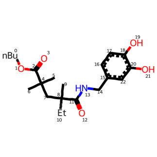 CCCCOC(=O)C(C)(C)CC(C)(CC)C(=O)NCc1ccc(O)c(O)c1